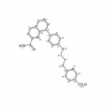 NC(=O)c1ccc2cncc(-c3ccc(OCCOc4ccc(C(=O)O)cn4)cc3)c2n1